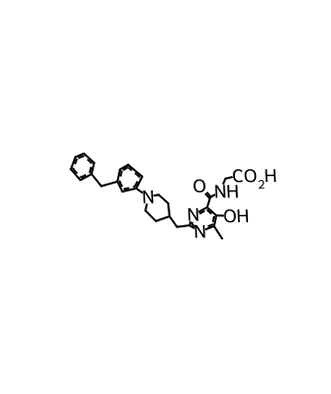 Cc1nc(CC2CCN(c3cccc(Cc4ccccc4)c3)CC2)nc(C(=O)NCC(=O)O)c1O